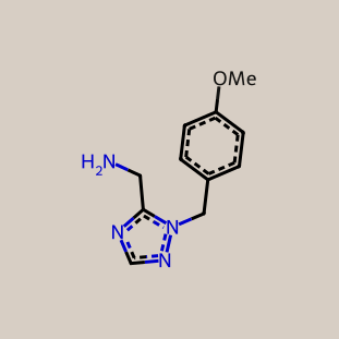 COc1ccc(Cn2ncnc2CN)cc1